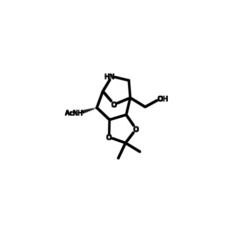 CC(=O)N[C@@H]1C2NCC(CO)(O2)C2OC(C)(C)OC21